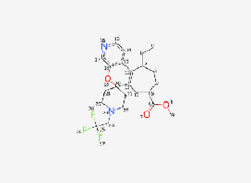 CCC1CCC(C(=O)OC)=CC2=C1c1ccncc1OC21CCN(CC(F)(F)F)CC1